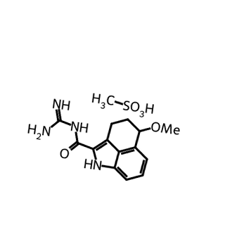 COC1CCc2c(C(=O)NC(=N)N)[nH]c3cccc1c23.CS(=O)(=O)O